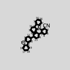 N#Cc1cccc(-c2ccc(-c3ccc4oc5ccccc5c4c3)cc2)c1-n1c2ccccc2c2ccccc21